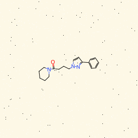 O=C(CCCn1ccc(-c2ccccc2)n1)N1CCCCC1